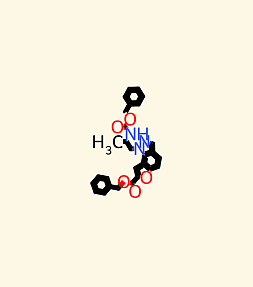 CC(Cn1ncc2ccc3oc(C(=O)OCc4ccccc4)cc3c21)NC(=O)OCc1ccccc1